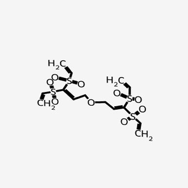 C=CS(=O)(=O)C(=CCOCC=C(S(=O)(=O)C=C)S(=O)(=O)C=C)S(=O)(=O)C=C